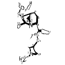 CN1CC(ONC(=O)[C@@H]2CCC3CN2C(=O)N3OS(=O)(=O)O)C1